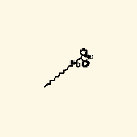 CCCCCCCCCCCCCNC(=O)C=C(c1ccccc1)c1ccccc1[N+](=O)[O-]